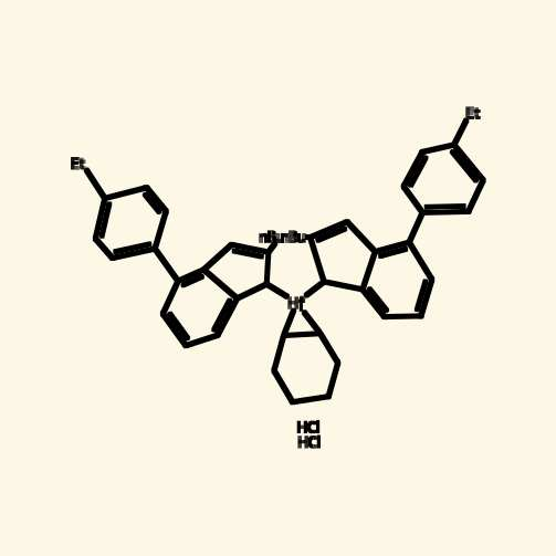 CCCCC1=Cc2c(-c3ccc(CC)cc3)cccc2[CH]1[Hf]1([CH]2C(CCCC)=Cc3c(-c4ccc(CC)cc4)cccc32)[CH]2CCCC[CH]21.Cl.Cl